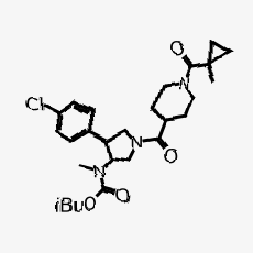 CC(C)COC(=O)N(C)C1CN(C(=O)C2CCN(C(=O)C3(C)CC3)CC2)CC1c1ccc(Cl)cc1